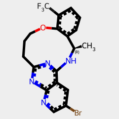 C[C@H]1Nc2nc(nc3ncc(Br)cc23)CCCOc2c1cccc2C(F)(F)F